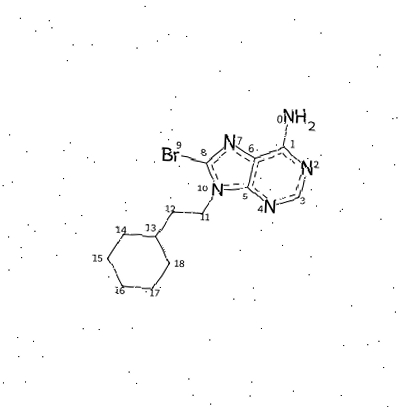 Nc1ncnc2c1nc(Br)n2CCC1CCCCC1